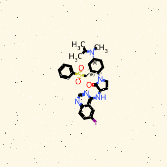 CC(C)N(C)[C@@H]1CC[C@H](N2CCC(Nc3ncnc4ccc(I)cc34)C2=O)[C@H](CS(=O)(=O)c2ccccc2)C1